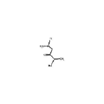 CCCCC(C)C(=O)CN(C)CC